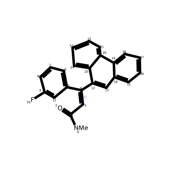 CNC(=O)/C=C(\c1cccc(F)c1)c1cc2ccccc2c2ccccc12